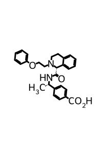 C[C@H](NC(=O)[C@H]1c2ccccc2CCN1CCOc1ccccc1)c1ccc(C(=O)O)cc1